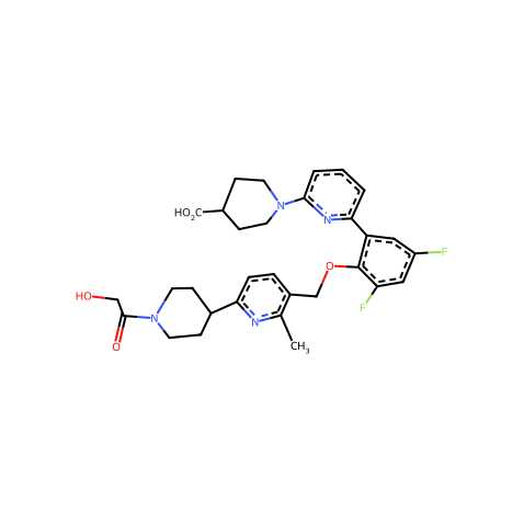 Cc1nc(C2CCN(C(=O)CO)CC2)ccc1COc1c(F)cc(F)cc1-c1cccc(N2CCC(C(=O)O)CC2)n1